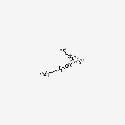 CCCC(C)(C)C(=O)NCCOCCOCCNC(=O)OCc1ccc(NC(=O)[C@@H](CCCNC(N)=O)NC(=O)C(NC(=O)CCOCCC(=O)CC)C(C)C)cc1